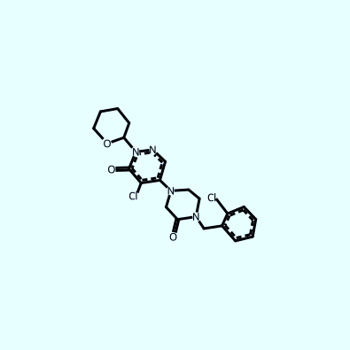 O=C1CN(c2cnn(C3CCCCO3)c(=O)c2Cl)CCN1Cc1ccccc1Cl